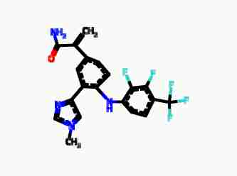 C=C(C(N)=O)c1ccc(Nc2ccc(C(F)(F)F)c(F)c2F)c(-c2cn(C)cn2)c1